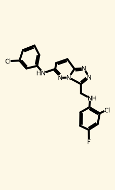 Fc1ccc(NCc2nnc3ccc(Nc4cccc(Cl)c4)nn23)c(Cl)c1